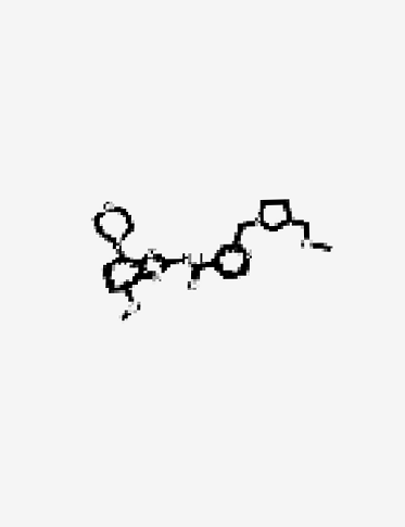 COCC1CCN(Cc2cc(C(=O)Nc3nc4c(OC)ccc(N5CCOCC5)c4s3)ccn2)C1